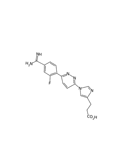 N=C(N)c1ccc(-c2ccc(-n3cnc(CCC(=O)O)c3)nn2)c(F)c1